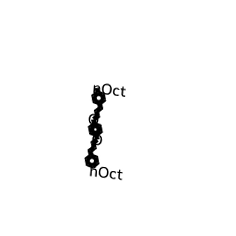 CCCCCCCCC1CCC(CCCOc2ccc(OCCCC3CCC(CCCCCCCC)CC3)cc2)CC1